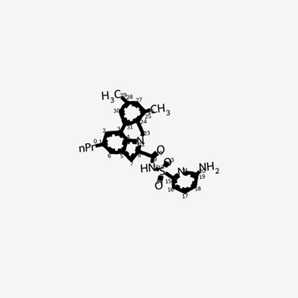 CCCc1cc2c3c(c1)cc(C(=O)NS(=O)(=O)c1cccc(N)n1)n3Cc1c(C)cc(C)cc1-2